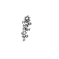 O=CC(CC1CCNC1=O)NC(=O)CNC(=O)c1cc2ccccc2[nH]1